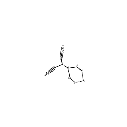 N#CC(C#N)C1CCCCC1